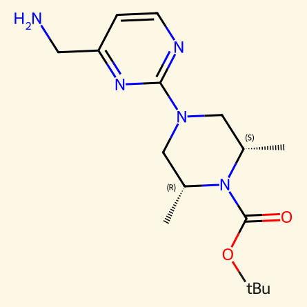 C[C@@H]1CN(c2nccc(CN)n2)C[C@H](C)N1C(=O)OC(C)(C)C